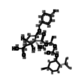 CC(C)[C@@H]1CC[C@@H](C)C[C@H]1OC(=O)O[C@H](C)OC(=O)[C@@]1(N)[C@H]2[C@@H](C[C@H]1OCc1ccc(F)cc1)[C@@H]2C(=O)O